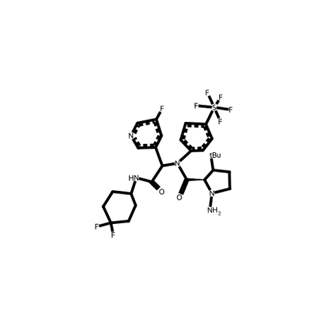 CC(C)(C)C1CCN(N)[C@H]1C(=O)N(c1ccc(S(F)(F)(F)(F)F)cc1)C(C(=O)NC1CCC(F)(F)CC1)c1cncc(F)c1